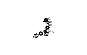 Cc1ccc(Cl)c2[nH]c(Nc3ccc(-c4cn([C@H]5CC[C@@H](N6CCN(C)CC6)CC5)c5ncnc(N)c45)cc3)nc12